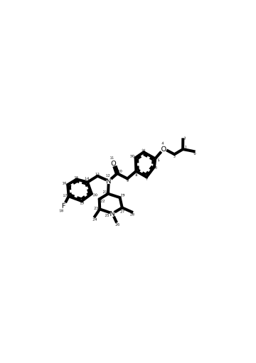 CC(C)COc1ccc(CC(=O)N(Cc2ccc(F)cc2)C2CC(C)N(C)C(C)C2)cc1